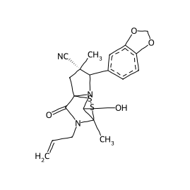 C=CCN1C(=O)C23C[C@](C)(C#N)C(c4ccc5c(c4)OCO5)N2C(O)C1(C)SS3